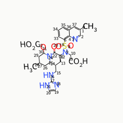 Cc1cnc2c(S(=O)(=O)N(CC(=O)O)[C@@H](CCCNc3ncc[nH]3)C(=O)N3CCC(C)CC3OC(=O)O)cccc2c1